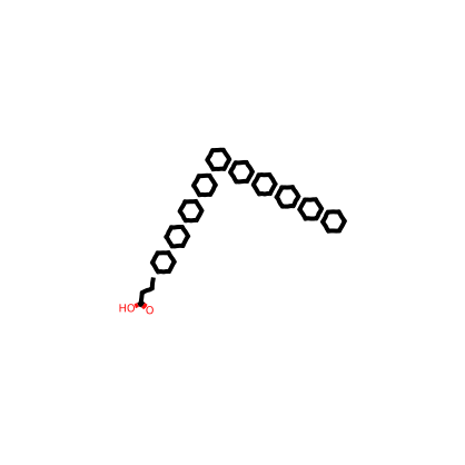 C1CCCCC1.C1CCCCC1.C1CCCCC1.C1CCCCC1.C1CCCCC1.C1CCCCC1.C1CCCCC1.C1CCCCC1.C1CCCCC1.C1CCCCC1.CCCC(=O)O